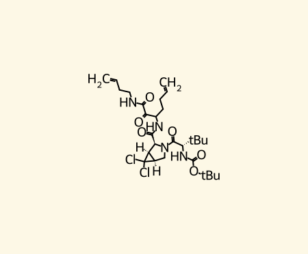 C=CCCNC(=O)C(=O)C(CCC=C)NC(=O)[C@@H]1[C@H]2[C@@H](CN1C(=O)[C@@H](NC(=O)OC(C)(C)C)C(C)(C)C)C2(Cl)Cl